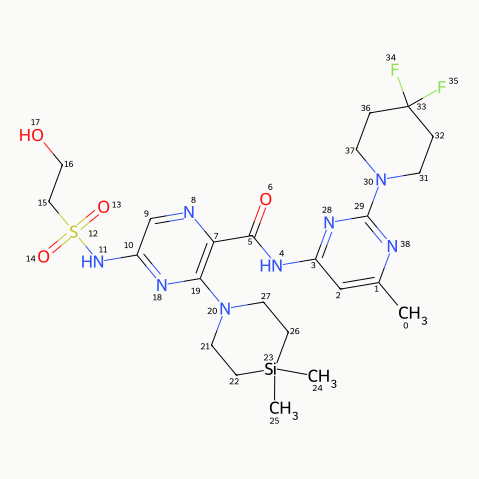 Cc1cc(NC(=O)c2ncc(NS(=O)(=O)CCO)nc2N2CC[Si](C)(C)CC2)nc(N2CCC(F)(F)CC2)n1